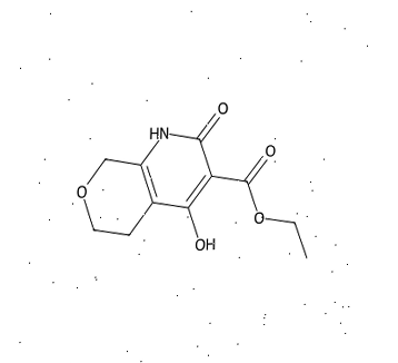 CCOC(=O)c1c(O)c2c([nH]c1=O)COCC2